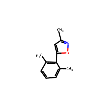 Cc1cc(-c2c(C)cccc2C)on1